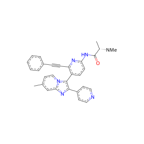 CN[C@@H](C)C(=O)Nc1ccc(-c2c(-c3ccncc3)nc3cc(C)ccn23)c(C#Cc2ccccc2)n1